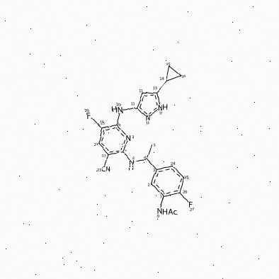 CC(=O)Nc1cc(C(C)Nc2nc(Nc3cc(C4CC4)[nH]n3)c(F)cc2C#N)ccc1F